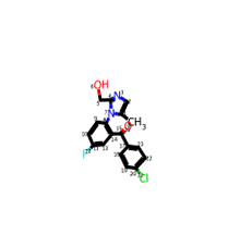 Cc1cnc(CO)n1-c1ccc(F)cc1C(=O)c1ccc(Cl)cc1